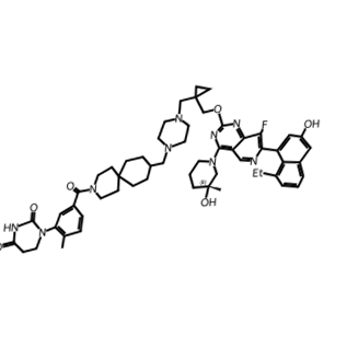 CCc1cccc2cc(O)cc(-c3ncc4c(N5CCC[C@@](C)(O)C5)nc(OCC5(CN6CCN(CC7CCC8(CC7)CCN(C(=O)c7ccc(C)c(N9CCC(=O)NC9=O)c7)CC8)CC6)CC5)nc4c3F)c12